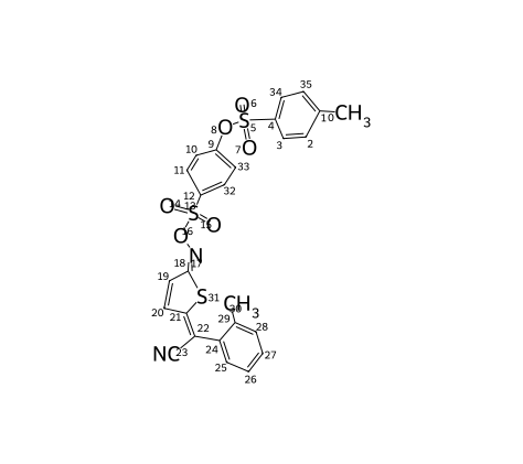 Cc1ccc(S(=O)(=O)Oc2ccc(S(=O)(=O)O/N=C3C=C/C(=C(\C#N)c4ccccc4C)S\3)cc2)cc1